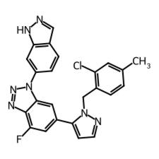 Cc1ccc(Cn2nccc2-c2cc(F)c3nnn(-c4ccc5cn[nH]c5c4)c3c2)c(Cl)c1